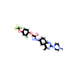 Cc1nc(N2CCN(C)CC2)nc2ccc(NC(=O)COc3ccc(OC(F)(F)F)cc3F)cc12